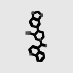 O=C(c1ccnc2ccccc12)N1CCC(c2ccc3c(c2)OCO3)C(O)C1